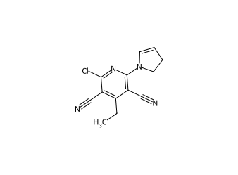 CCc1c(C#N)c(Cl)nc(N2C=CCC2)c1C#N